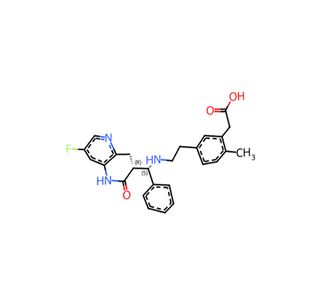 Cc1ccc(CCN[C@H](c2ccccc2)[C@H]2Cc3ncc(F)cc3NC2=O)cc1CC(=O)O